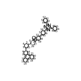 C1=C(c2cccc(-c3ccc4c5ccccc5c5ccccc5c4c3)c2)CCc2c1oc1cc(-c3ccc(-c4nc(-c5ccccc5)nc(-c5ccccc5)n4)cc3)ccc21